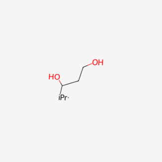 C[C](C)C(O)CCO